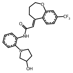 O=C(/C=C1\CCCOc2cc(C(F)(F)F)ccc21)Nc1ccccc1N1CCC(O)C1